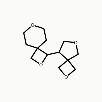 C1CC2(CCO1)COC2C1COCC12COC2